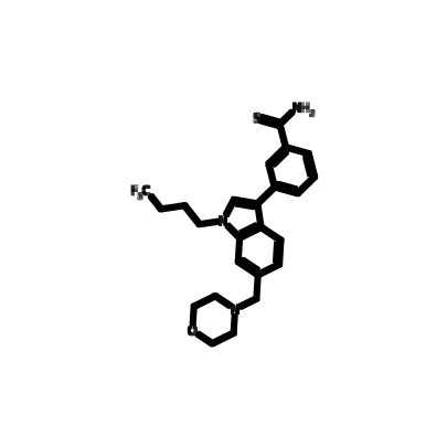 NC(=S)c1cccc(-c2cn(CCCC(F)(F)F)c3cc(CN4CCOCC4)ccc23)c1